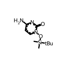 CC(C)(C)[Si](C)(C)On1ccc(N)nc1=O